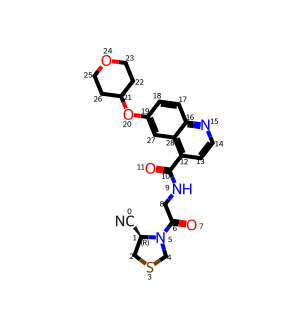 N#C[C@@H]1CSCN1C(=O)CNC(=O)c1ccnc2ccc(OC3CCOCC3)cc12